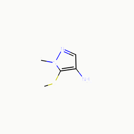 CSc1c(N)cnn1C